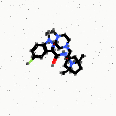 CC(=O)N1CCN(CCN2[C@@H]3CC[C@H]2C[C@H](NC(=O)c2nn(C(C)C)c4ccc(F)cc24)C3)CC1